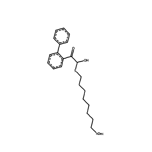 CCCCCCCCCCCCCCCCCCSC(O)C(=O)c1ccccc1-c1ccccc1